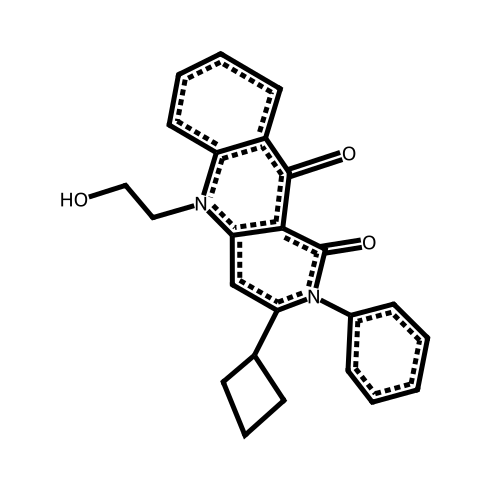 O=c1c2ccccc2n(CCO)c2cc(C3CCC3)n(-c3ccccc3)c(=O)c12